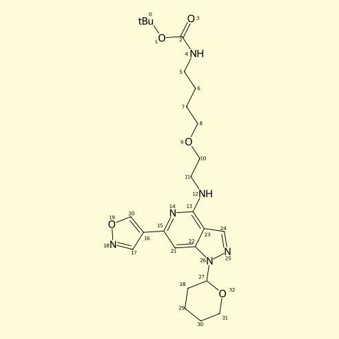 CC(C)(C)OC(=O)NCCCCOCCNc1nc(-c2cnoc2)cc2c1cnn2C1CCCCO1